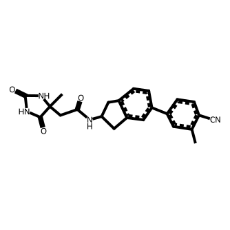 Cc1cc(-c2ccc3c(c2)CC(NC(=O)CC2(C)NC(=O)NC2=O)C3)ccc1C#N